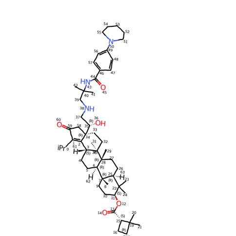 CC(C)C1=C2[C@H]3CC[C@@H]4[C@@]5(C)CC[C@H](OC(=O)[C@H]6C[C@@H](C(=O)O)C6(C)C)C(C)(C)[C@@H]5CC[C@@]4(C)[C@]3(C)CC[C@@]2([C@@H](O)CNCC(C)(C)NC(=O)c2ccc(N3CCCCC3)cc2)CC1=O